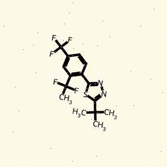 CC(C)(C)c1nnc(-c2ccc(C(F)(F)F)cc2C(C)(F)F)s1